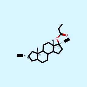 C#C[C@H]1CC2CCC3C(CC[C@@]4(C)C3CC[C@]4(C#C)OC(=O)CC)[C@@]2(C)C1